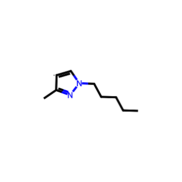 CCCCCn1c[c]c(C)n1